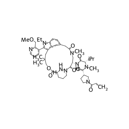 C=CC(=O)N1CC[C@H](C(=O)N(C)[C@H](C(=O)N[C@H]2CN(C)C(=O)Cc3ccc4c(c3)c(c(-c3cccnc3COC)n4CC)CC(C)(C)COC(=O)[C@@H]3CCCN(N3)C2=O)C(C)C)C1